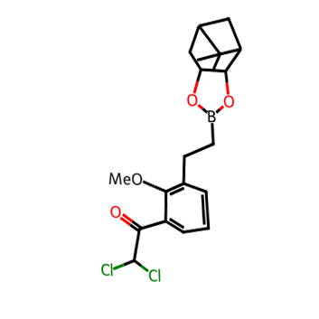 COc1c(CCB2OC3CC4CC(C3O2)C4(C)C)cccc1C(=O)C(Cl)Cl